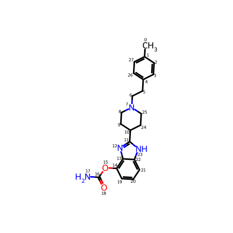 Cc1ccc(CCN2CCC(c3nc4c(OC(N)=O)cccc4[nH]3)CC2)cc1